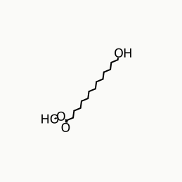 O=C(CCCCCCCCCCCCCO)OO